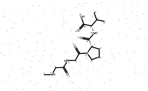 CNCC(=O)NCC(=O)N1CCC[C@H]1C(=O)N[C@H](C(=O)O)C(C)C